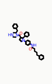 O=C(CCCCc1ccccc1)Nc1ccc(-n2ccc(C(=O)N3CCNCC3Cc3ccccc3)c2-c2ccccc2)cc1